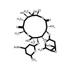 CC[C@H]1OC(=O)[C@H](C)[C@@H](OC2CC3(OC)OC3C(C)O2)[C@H](C)[C@@H](OC2CC(NC(C)=O)CC(C)O2)[C@@](C)(O)C[C@@H](C)C(=O)[C@H](C)[C@@H](O)[C@]1(C)O